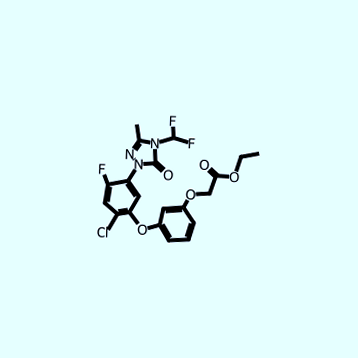 CCOC(=O)COc1cccc(Oc2cc(-n3nc(C)n(C(F)F)c3=O)c(F)cc2Cl)c1